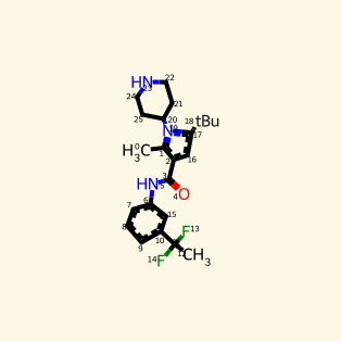 Cc1c(C(=O)Nc2cccc(C(C)(F)F)c2)cc(C(C)(C)C)n1C1CCNCC1